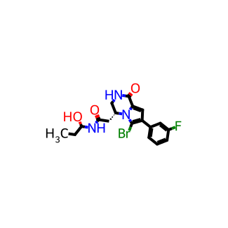 CCC(O)NC(=O)C[C@@H]1CNC(=O)c2cc(-c3cccc(F)c3)c(Br)n21